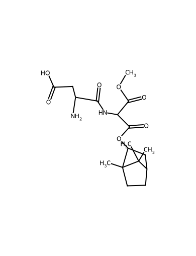 COC(=O)C(NC(=O)C(N)CC(=O)O)C(=O)OC1CC2CCC1(C)C2(C)C